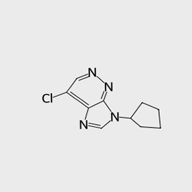 Clc1cnnc2c1ncn2C1CCCC1